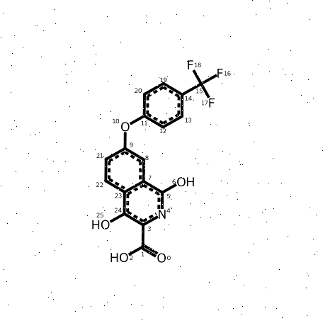 O=C(O)c1nc(O)c2cc(Oc3ccc(C(F)(F)F)cc3)ccc2c1O